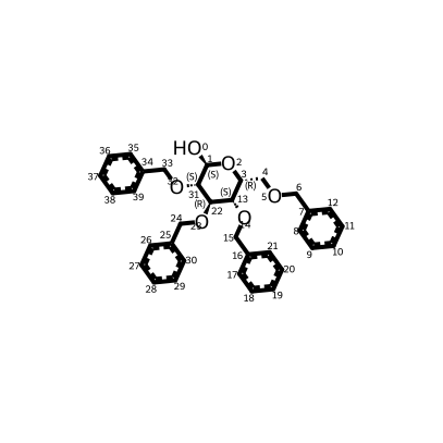 O[C@H]1O[C@H](COCc2ccccc2)[C@H](OCc2ccccc2)[C@@H](OCc2ccccc2)[C@@H]1OCc1ccccc1